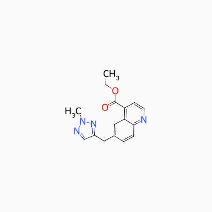 CCOC(=O)c1ccnc2ccc(Cc3cnn(C)n3)cc12